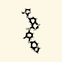 Cc1cc(Nc2ncnc3ccc(/N=C4\SCCN4C)cc23)ccc1Oc1ccn2ccnc2c1